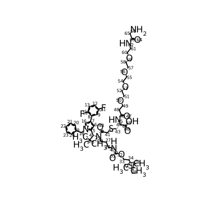 CC(C)(C)[C@H](c1cc(-c2cc(F)ccc2F)cn1Cc1ccccc1)N(CCCNC(=O)OCC[Si](C)(C)C)C(=O)CSC[C@H](NC(=O)CCOCCOCCOCCOCCNC(=O)CN)C(=O)O